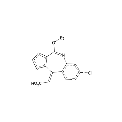 CCOC1=Nc2cc(Cl)ccc2C(=CC(=O)O)c2sccc21